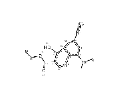 [C-]#[N+]c1cc(N(C)C)c2ncc(C(=O)OCC)c(O)c2c1